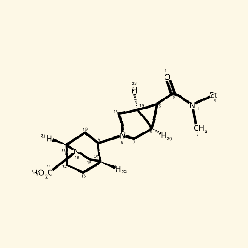 CCN(C)C(=O)C1[C@H]2CN(C3C[C@H]4CC[C@@H]3CN4C(=O)O)C[C@@H]12